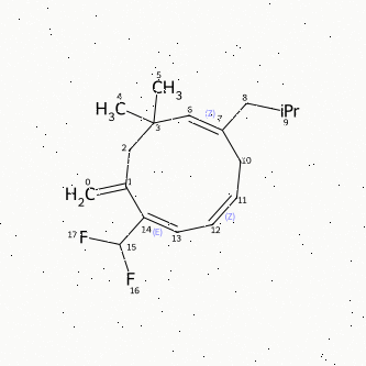 C=C1CC(C)(C)/C=C(/CC(C)C)C/C=C\C=C/1C(F)F